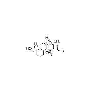 C=C[C@]1(C)CCC2[C@@]3(C)CCC[C@@](C)(CO)C3CC[C@@]2(C)O1